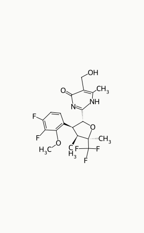 COc1c([C@H]2[C@H](c3nc(=O)c(CO)c(C)[nH]3)O[C@@](C)(C(F)(F)F)[C@H]2C)ccc(F)c1F